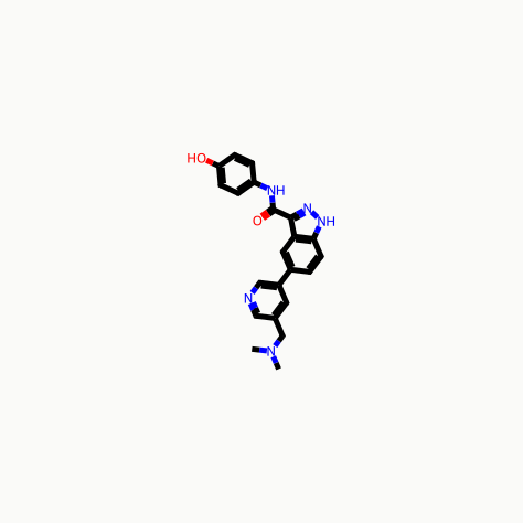 CN(C)Cc1cncc(-c2ccc3[nH]nc(C(=O)Nc4ccc(O)cc4)c3c2)c1